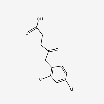 O=C(O)CCC(=O)Cc1ccc(Cl)cc1Cl